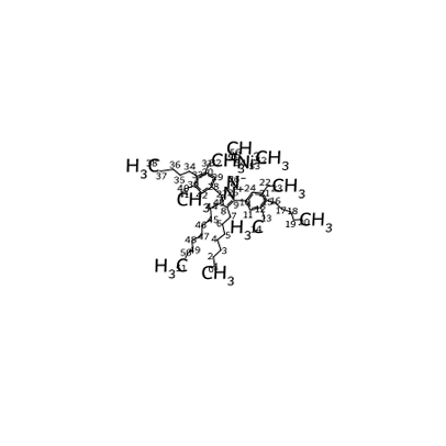 CCCCCCCCC1=C(c2cc(CC)c(CCCCC)c(CC)c2)[N+](=[N-])C(c2cc(CC)c(CCCCC)c(CC)c2)=C1CCCCCCCC.C[CH2][Ni][CH2]C